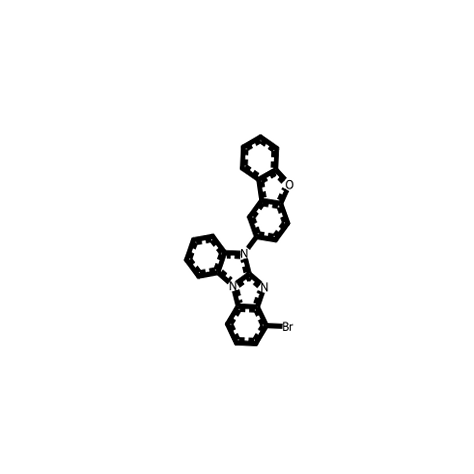 Brc1cccc2c1nc1n(-c3ccc4oc5ccccc5c4c3)c3ccccc3n21